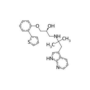 CC(C)(Cc1c[nH]c2ncccc12)NC[C@H](O)COc1ccccc1-c1cccs1